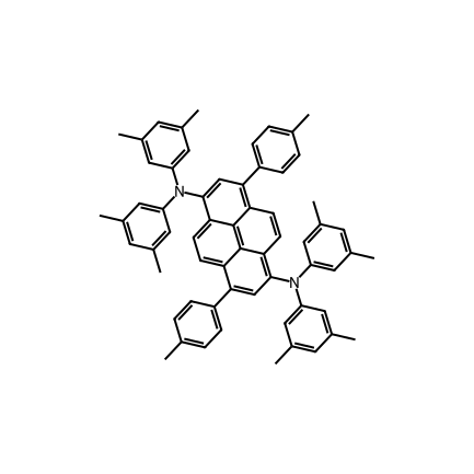 Cc1ccc(-c2cc(N(c3cc(C)cc(C)c3)c3cc(C)cc(C)c3)c3ccc4c(-c5ccc(C)cc5)cc(N(c5cc(C)cc(C)c5)c5cc(C)cc(C)c5)c5ccc2c3c45)cc1